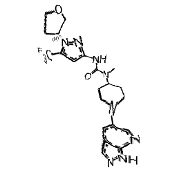 CN(C(=O)Nc1cc(C(F)(F)F)n([C@@H]2CCOC2)n1)C1CCN(c2cnc3[nH]ncc3c2)CC1